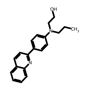 CCCN(CCO)c1ccc(-c2ccc3ccccc3n2)cc1